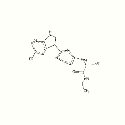 CCC[C@@H](Nc1ccnc(C2CNc3ncc(Cl)cc32)n1)C(=O)NCC(F)(F)F